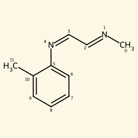 C/N=C/C=N\c1ccccc1C